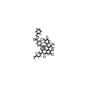 C=C(/C=C\C(Cl)=C/C)[C@H](Nc1cc(Cl)c2ncc(C#N)c(Nc3ccc(F)c(Cl)c3)c2c1)c1cn(C2CCN(C(=O)OCc3ccccc3)CC2)nn1